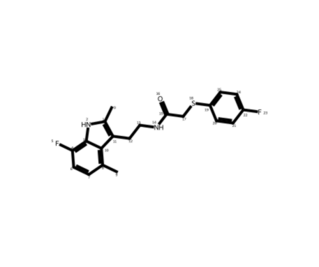 Cc1[nH]c2c(F)ccc(C)c2c1CCNC(=O)CSc1ccc(F)cc1